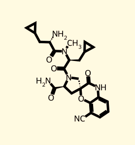 CN(C(=O)[C@@H](N)CC1CC1)[C@@H](CC1CC1)C(=O)N1C[C@@]2(C[C@H]1C(N)=O)Oc1c(C#N)cccc1NC2=O